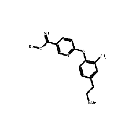 CCOC(=N)c1ccc(Oc2ccc(CCNC)cc2C)nc1